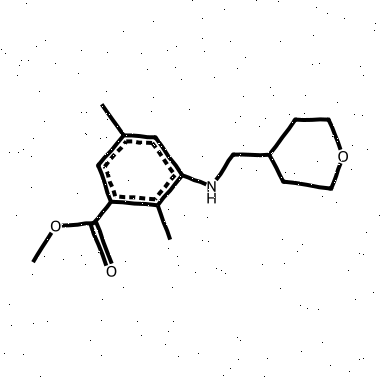 COC(=O)c1cc(C)cc(NCC2CCOCC2)c1C